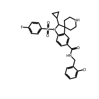 O=C(NCc1ccccc1Cl)c1ccc2c(c1)C1(CCNCC1)C(C1CC1)N2S(=O)(=O)c1ccc(F)cc1